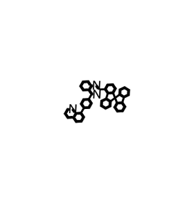 c1ccc2c(c1)-c1ccccc1C21c2ccccc2-c2c(-c3nc(-c4ccc(-c5cccc6cccnc56)cc4)c4ccccc4n3)cccc21